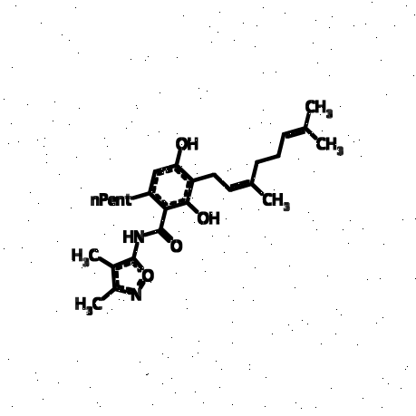 CCCCCc1cc(O)c(CC=C(C)CCC=C(C)C)c(O)c1C(=O)Nc1onc(C)c1C